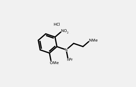 CCCN(CCNC)c1c(OC)cccc1[N+](=O)[O-].Cl